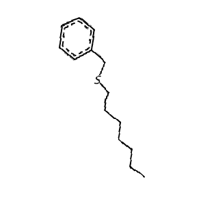 CCCCCCCSCc1ccccc1